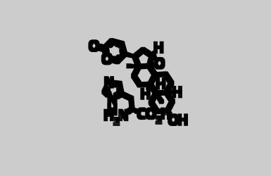 C[C@]12CC[C@H](O)C[C@H]1CC[C@@H]1[C@@H]2CC[C@]2(C)[C@@H](c3ccc(=O)oc3)C[C@H]3O[C@]132.N[C@@H](Cc1cnc[nH]1)C(=O)O